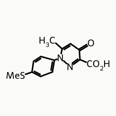 CSc1ccc(-n2nc(C(=O)O)c(=O)cc2C)cc1